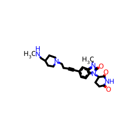 CNCC1CCN(CCC#Cc2ccc3c(c2)n(C)c(=O)n3C2CCC(=O)NC2=O)CC1